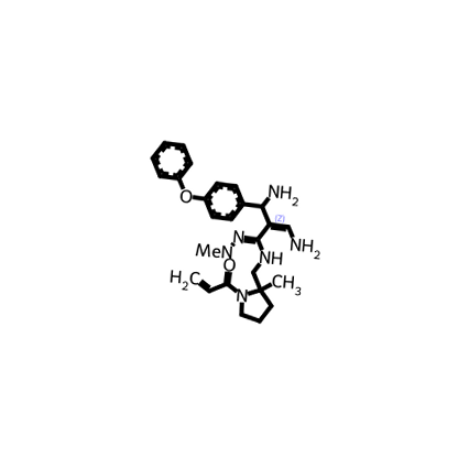 C=CC(=O)N1CCCC1(C)CNC(=NNC)/C(=C\N)C(N)c1ccc(Oc2ccccc2)cc1